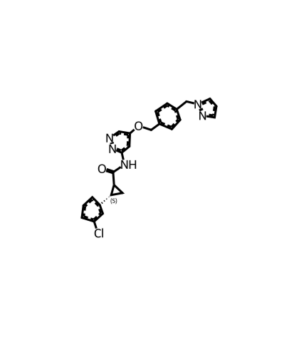 O=C(Nc1cc(OCc2ccc(Cn3cccn3)cc2)cnn1)C1C[C@@H]1c1cccc(Cl)c1